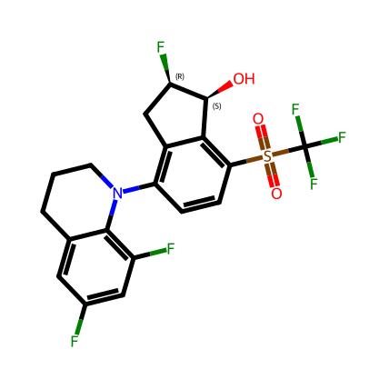 O=S(=O)(c1ccc(N2CCCc3cc(F)cc(F)c32)c2c1[C@H](O)[C@H](F)C2)C(F)(F)F